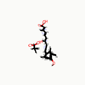 CC(C)(C)C(=O)O.COc1cc(C)c(/C=C/C(C)=C/C=C/C(C)=C/C(=O)O)c(C)c1C